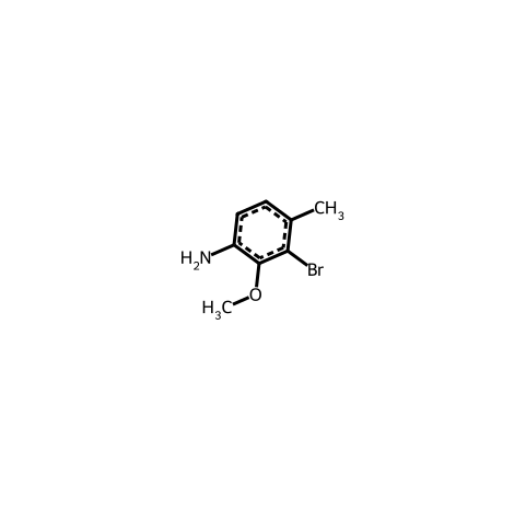 COc1c(N)ccc(C)c1Br